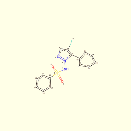 O=S(=O)(Nn1ncc(F)c1-c1ccccc1)c1ccccc1